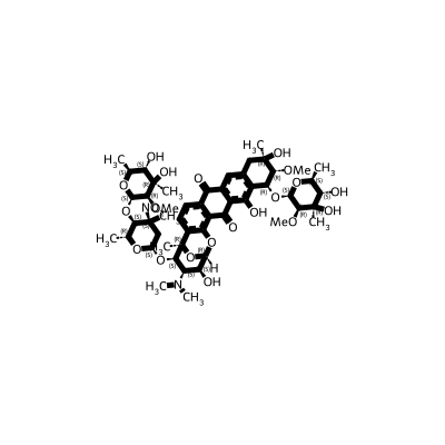 CO[C@@H]1[C@H](O[C@@H]2O[C@@H](C)[C@H](O)[C@@](C)(O)[C@H]2OC)c2c(cc3c(c2O)C(=O)c2c(ccc4c2O[C@@H]2O[C@@]4(C)[C@@H](O[C@H]4C[C@](C)([N+](=O)[O-])[C@H](O[C@@H]5O[C@@H](C)[C@H](O)[C@@](C)(O)[C@H]5OC)[C@@H](C)O4)[C@@H](N(C)C)[C@@H]2O)C3=O)C[C@@]1(C)O